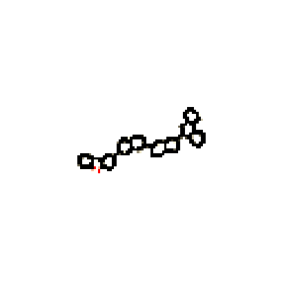 c1ccc2c(c1)cc(-c1ccc3ccc(-c4ccc5ccc(-c6ccc7oc8ccccc8c7c6)cc5c4)cc3c1)c1ccccc12